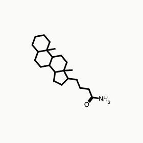 CC12CCCCC1CCC1C2CCC2(C)C(CCCC(N)=O)CCC12